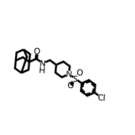 O=C(NCC1CCN(S(=O)(=O)c2ccc(Cl)cc2)CC1)C12CC3CC(CC(C3)C1)C2